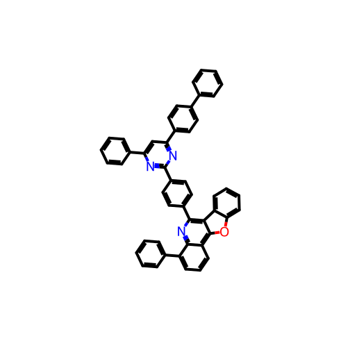 c1ccc(-c2ccc(-c3cc(-c4ccccc4)nc(-c4ccc(-c5nc6c(-c7ccccc7)cccc6c6oc7ccccc7c56)cc4)n3)cc2)cc1